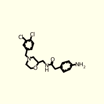 Nc1ccc(CC(=O)NCC2CN(Cc3ccc(Cl)c(Cl)c3)CCO2)cc1